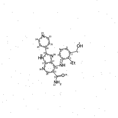 CCc1c(CO)cccc1Nc1c(C(N)=O)cnc2[nH]c(-c3ccncc3)nc12